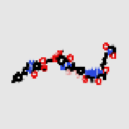 B[C@]12C=Nc3cc(OCCCOc4cc5c(cc4OC)C(=O)N4C=C(c6ccc(C)cc6)CC4C=N5)c(OC)cc3C(=O)N1C=C(c1ccc(NC(=O)C(C)NC(=O)C(NC(=O)CCCCCN3C(=O)C=CC3=O)C(C)C)cc1)C2